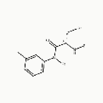 CCN(C(=O)[C@H](CC(C)C)NF)c1cccc(C)c1